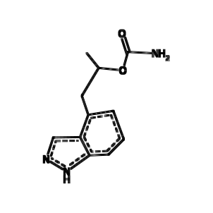 CC(Cc1cccc2[nH]ncc12)OC(N)=O